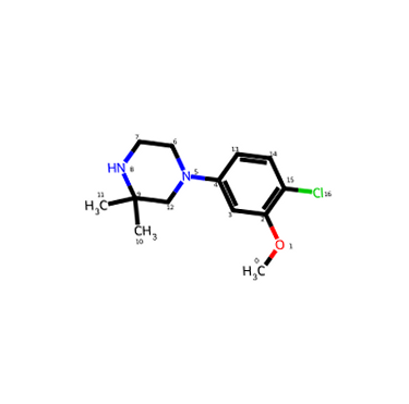 COc1cc(N2CCNC(C)(C)C2)ccc1Cl